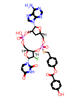 Nc1ncnc2c1ncn2[C@@H]1O[C@@H]2COP(=O)(SCc3ccc(OC(=O)c4ccc(O)cc4)cc3)O[C@H]3[C@@H](F)[C@H](n4ccc(=O)[nH]c4=O)O[C@@H]3COP(=O)(O)O[C@@H]1C2